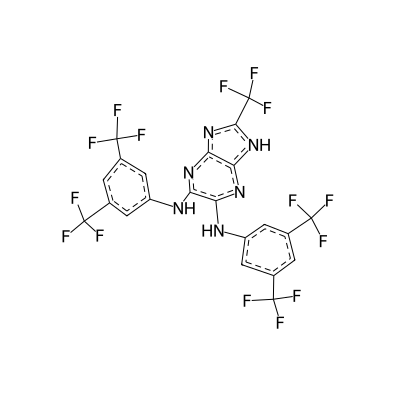 FC(F)(F)c1cc(Nc2nc3nc(C(F)(F)F)[nH]c3nc2Nc2cc(C(F)(F)F)cc(C(F)(F)F)c2)cc(C(F)(F)F)c1